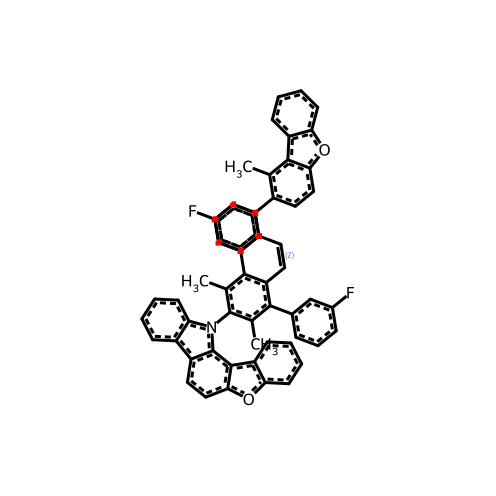 Cc1c(-c2cccc(F)c2)c(/C=C\c2ccccc2-c2ccc3oc4ccccc4c3c2C)c(-c2cccc(F)c2)c(C)c1-n1c2ccccc2c2ccc3oc4ccccc4c3c21